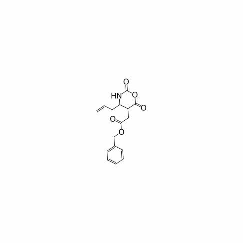 C=CCC1NC(=O)OC(=O)C1CC(=O)OCc1ccccc1